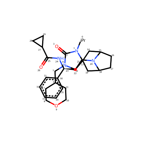 CC(C)N1C(=O)N(CC2CCOCC2)CC12CC1CCC(C2)N1CC[C@H](NC(=O)C1CC1)c1ccccc1